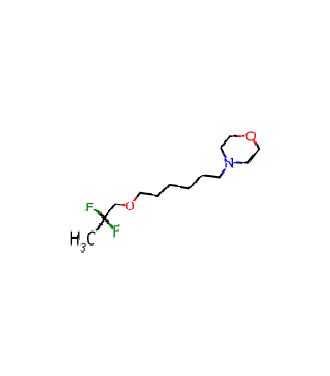 CC(F)(F)COCCCCCCN1CCOCC1